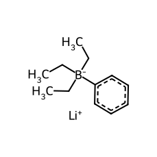 CC[B-](CC)(CC)c1ccccc1.[Li+]